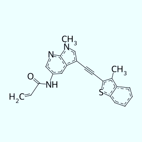 C=CC(=O)Nc1cnc2c(c1)c(C#Cc1sc3ccccc3c1C)cn2C